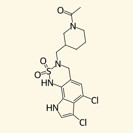 CC(=O)N1CCCC(CN2Cc3cc(Cl)c4c(Cl)c[nH]c4c3NS2(=O)=O)C1